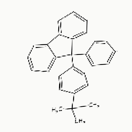 CC(C)(C)c1ccc(C2(c3cc[c]cc3)c3ccccc3-c3ccccc32)cc1